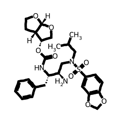 CC(C)CN(C[C@@H](N)[C@H](Cc1ccccc1)NC(=O)O[C@H]1CO[C@H]2OCC[C@H]21)S(=O)(=O)c1ccc2c(c1)OCO2